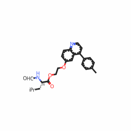 Cc1ccc(-c2ccnc3ccc(OCCOC(=O)[C@H](CC(C)C)NC=O)cc23)cc1